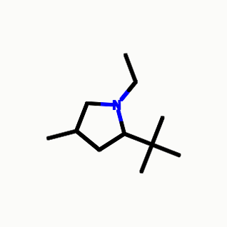 CCN1CC(C)CC1C(C)(C)C